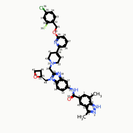 Cc1n[nH]c2c(C)cc(C(=O)Nc3ccc4c(c3)nc(CN3CC=C(c5cccc(OCc6ccc(Cl)cc6F)n5)CC3)n4C[C@@H]3CCO3)cc12